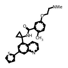 CNCCOc1ccc(C)c(C(=O)NC2(c3cc(-c4cccs4)cc4ncccc34)CC2)c1